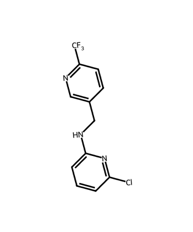 FC(F)(F)c1ccc(CNc2cccc(Cl)n2)cn1